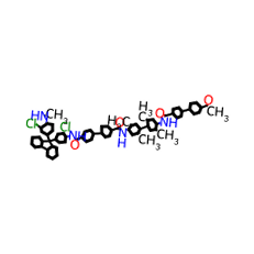 CNc1ccc(C2(c3ccc(NC(=O)c4ccc(-c5ccc(C(=O)Nc6cc(C)c(-c7cc(C)c(NC(=O)c8ccc(-c9ccc(C(C)=O)cc9)cc8)cc7C)cc6C)cc5)cc4)c(Cl)c3)c3ccccc3-c3ccccc32)cc1Cl